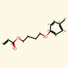 C=CC(=O)OCCCCOc1ccc(C)cc1